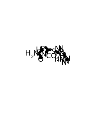 NC1C(=O)N2C(C(=O)O)=C(CSc3nnn(Cc4nnn[nH]4)n3)CS[C@H]12